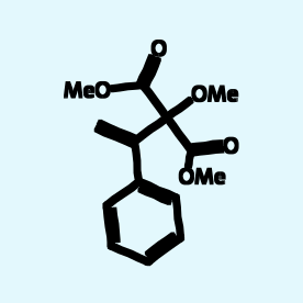 C=C(c1ccccc1)C(OC)(C(=O)OC)C(=O)OC